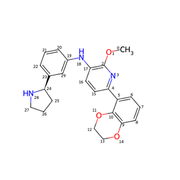 COc1nc(-c2cccc3c2OCCO3)ccc1Nc1cccc([C@H]2CCCN2)c1